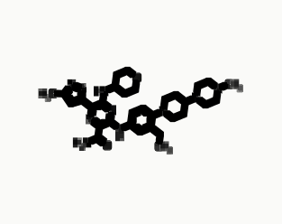 CCc1cc(Nc2nc(NC3CCOCC3)c(-c3cc(C)ns3)nc2C(N)=O)ccc1N1CCC(N2CCN(C)CC2)CC1